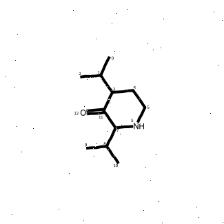 CC(C)C1CCNC(C(C)C)C1=O